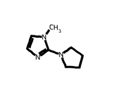 Cn1ccnc1N1CCCC1